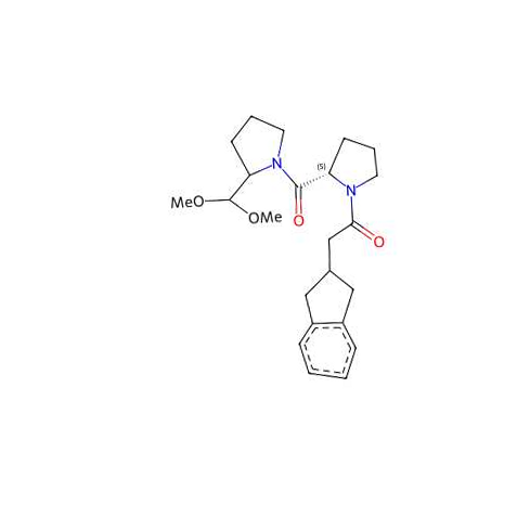 COC(OC)C1CCCN1C(=O)[C@@H]1CCCN1C(=O)CC1Cc2ccccc2C1